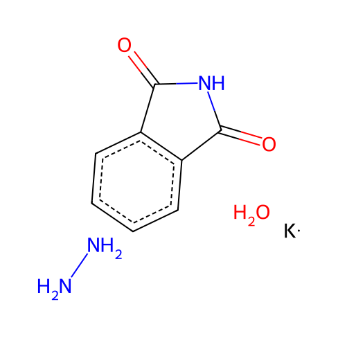 NN.O.O=C1NC(=O)c2ccccc21.[K]